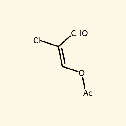 CC(=O)O/C=C(/Cl)C=O